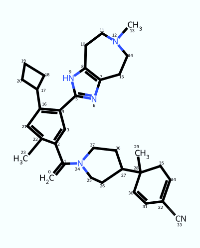 C=C(c1cc(-c2nc3c([nH]2)CCN(C)CC3)c(C2CCC2)cc1C)N1CCC(C2(C)C=CC(C#N)=CC2)CC1